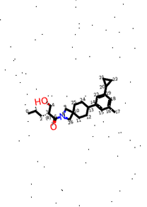 CCC[C@H](CO)C(=O)N1CC2(CCC(c3cc(C)cc(C4CC4)c3)CC2)C1